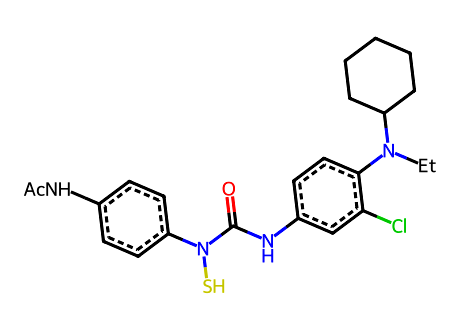 CCN(c1ccc(NC(=O)N(S)c2ccc(NC(C)=O)cc2)cc1Cl)C1CCCCC1